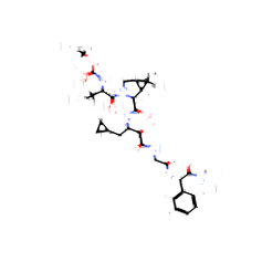 CN(C)C(=O)[C@@H](NC(=O)CNC(=O)C(=O)C(CC1CC1)NC(=O)C1C2C(CN1C(=O)C(NC(=O)OC(C)(C)C)C(C)(C)C)C2(C)C)c1ccccc1